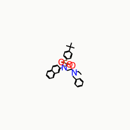 CCN(Cc1ccccc1)C(=O)CN(c1ccc2ccccc2c1)S(=O)(=O)c1ccc(C(C)(C)C)cc1